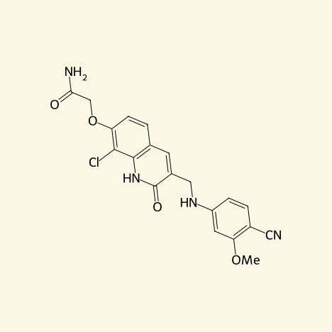 COc1cc(NCc2cc3ccc(OCC(N)=O)c(Cl)c3[nH]c2=O)ccc1C#N